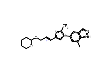 Cc1cc(-n2cc(/C=C/COC3CCCCO3)nc2C(F)(F)F)cc2cn[nH]c12